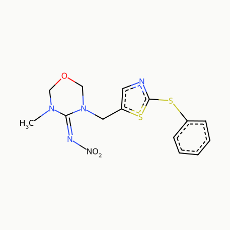 CN1COCN(Cc2cnc(Sc3ccccc3)s2)/C1=N\[N+](=O)[O-]